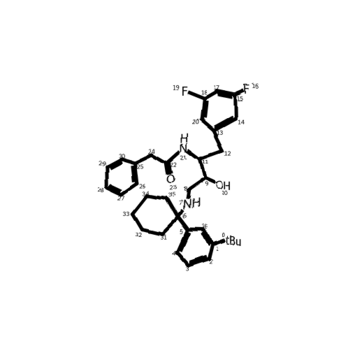 CC(C)(C)c1cccc(C2(NCC(O)C(Cc3cc(F)cc(F)c3)NC(=O)Cc3ccccc3)CCCCC2)c1